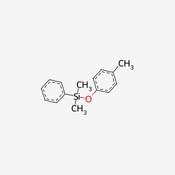 Cc1ccc(O[Si](C)(C)c2ccccc2)cc1